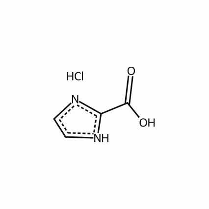 Cl.O=C(O)c1ncc[nH]1